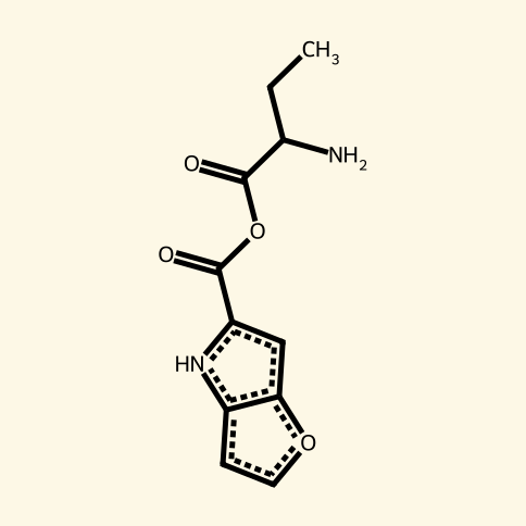 CCC(N)C(=O)OC(=O)c1cc2occc2[nH]1